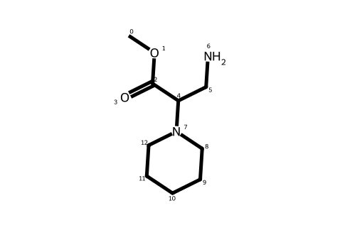 COC(=O)C(CN)N1CCCCC1